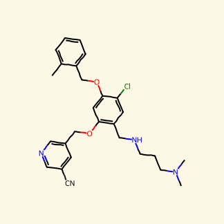 Cc1ccccc1COc1cc(OCc2cncc(C#N)c2)c(CNCCCN(C)C)cc1Cl